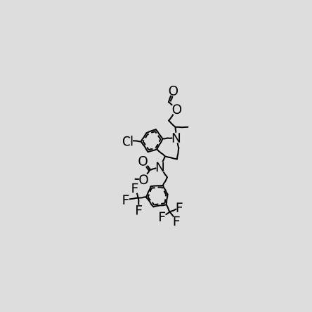 COC(=O)N(Cc1cc(C(F)(F)F)cc(C(F)(F)F)c1)C1CCN(C(C)COC=O)c2ccc(Cl)cc21